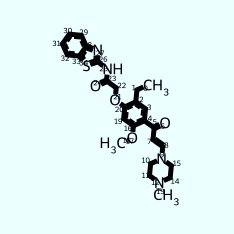 CCc1cc(C(=O)C=CN2CCN(C)CC2)c(OC)cc1OCC(=O)Nc1nc2ccccc2s1